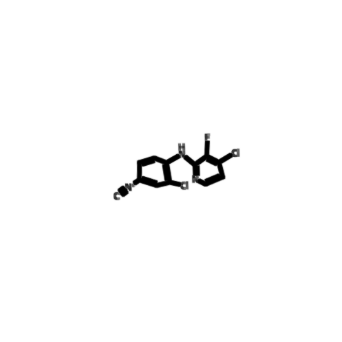 [C-]#[N+]c1ccc(Nc2nccc(Cl)c2F)c(Cl)c1